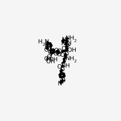 [N-]=[N+]=Nc1ccc(COC(=O)NCCC[C@H](N)C(=O)OC2C(COP(=O)(O)O[C@H]3C[C@H](n4ccc(N)nc4=O)O[C@@H]3COP(=O)(O)O)OC(n3cnc4c(N)ncnc43)C2O)cc1